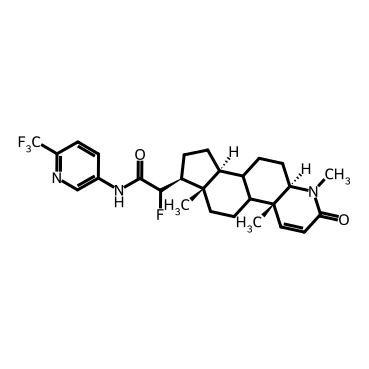 CN1C(=O)C=C[C@]2(C)C3CC[C@]4(C)[C@@H](C(F)C(=O)Nc5ccc(C(F)(F)F)nc5)CC[C@H]4C3CC[C@@H]12